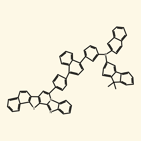 CC1(C)c2ccccc2-c2cc(B(c3cccc(-c4ccc(-c5ccc(-c6cc7c8ccc9ccccc9c8sc7c7nc8ccccc8n67)cc5)c5ccccc45)c3)c3ccc4ccccc4c3)ccc21